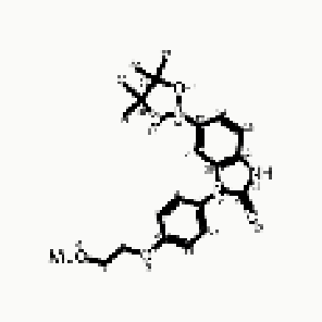 COCCOc1ccc(-n2c(=O)[nH]c3ccc(B4OC(C)(C)C(C)(C)O4)cc32)cc1